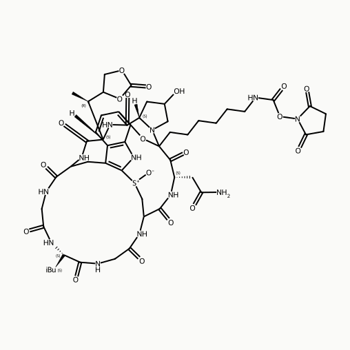 CC[C@H](C)[C@@H]1NC(=O)CNC(=O)C2Cc3c4[nH]c5cc(ccc35)OC(CCCCCCNC(=O)ON3C(=O)CCC3=O)(C(=O)[C@H](CC(N)=O)NC(=O)C(C[S+]4[O-])NC(=O)CNC1=O)N1CC(O)C[C@H]1C(=O)N[C@@H]([C@@H](C)C1COC(=O)O1)C(=O)N2